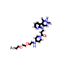 CC(=O)CCOCCOCCNC1CCN(C(=O)CCn2c3c(c4cccnc42)C(C)N(C)N(C)C3)CC1